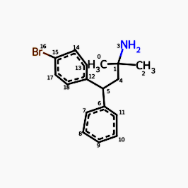 CC(C)(N)CC(c1ccccc1)c1ccc(Br)cc1